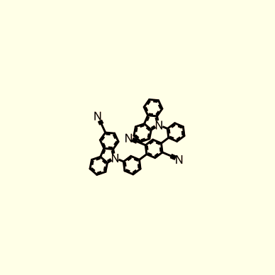 N#Cc1ccc2c(c1)c1ccccc1n2-c1cccc(-c2cc(C#N)c(-c3ccccc3-n3c4ccccc4c4ccccc43)cc2C#N)c1